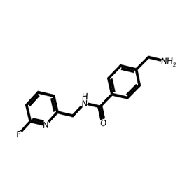 NCc1ccc(C(=O)NCc2cccc(F)n2)cc1